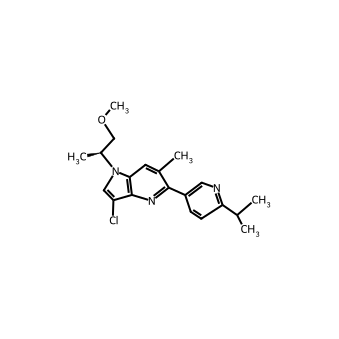 COC[C@H](C)n1cc(Cl)c2nc(-c3ccc(C(C)C)nc3)c(C)cc21